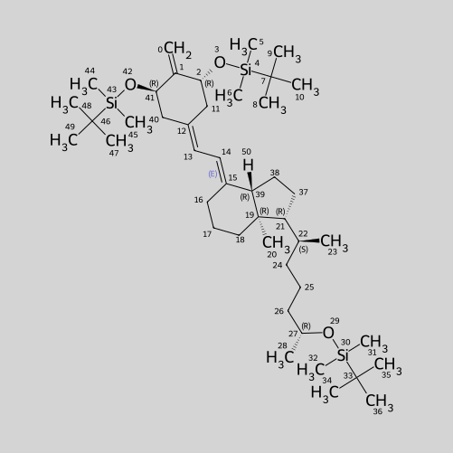 C=C1[C@H](O[Si](C)(C)C(C)(C)C)CC(=C/C=C2\CCC[C@]3(C)[C@@H]([C@@H](C)CCC[C@@H](C)O[Si](C)(C)C(C)(C)C)CC[C@@H]23)C[C@H]1O[Si](C)(C)C(C)(C)C